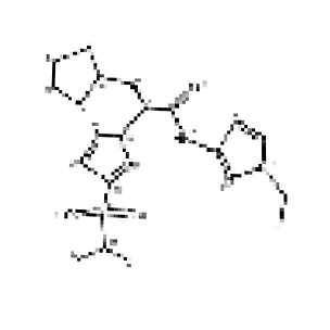 CCn1ccc(NC(=O)[C@H](CC2CCCC2)n2cc(S(=O)(=O)C(C)C)cn2)n1